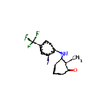 CC1C(=O)CCCC1Nc1ccc(C(F)(F)F)cc1I